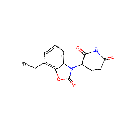 CC(C)Cc1cccc2c1oc(=O)n2C1CCC(=O)NC1=O